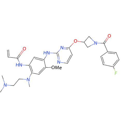 C=CC(=O)Nc1cc(Nc2nccc(OC3CN(C(=O)c4ccc(F)cc4)C3)n2)c(OC)cc1N(C)CCN(C)C